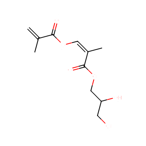 C=C(C)C(=O)OC=C(C)C(=O)OCC(O)CO